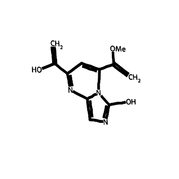 C=C(O)c1cc(C(=C)OC)n2c(O)ncc2n1